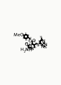 COc1ccc(COC(=O)C2=C(CSc3cc(C)nc4ncnn34)CS[C@H]3C(N)C(=O)N23)cc1